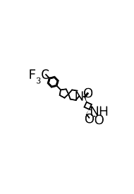 O=C1N[C@]2(CO1)C[C@H](C(=O)N1CCC3(CCC(c4ccc(C(F)(F)F)cc4)C3)CC1)C2